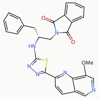 COc1cncc2ccc(-c3nnc(N[C@H](Cc4ccccc4)CN4C(=O)c5ccccc5C4=O)s3)nc12